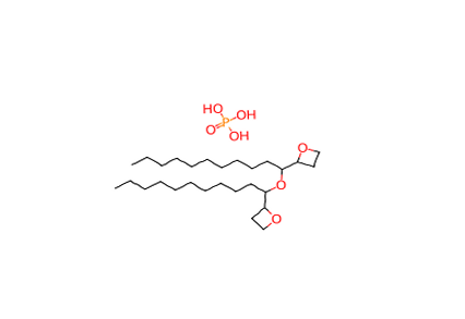 CCCCCCCCCCC(OC(CCCCCCCCCC)C1CCO1)C1CCO1.O=P(O)(O)O